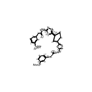 COc1cccc(CC(=O)Nc2nnc(C3CCC(c4nnc(NC(=O)Cc5cccc(OC)c5)s4)C3)s2)c1